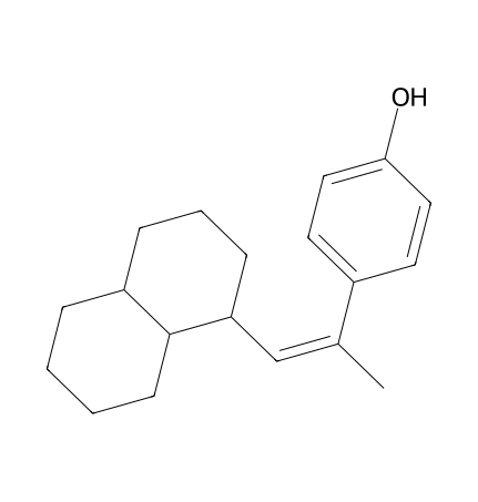 CC(=CC1CCCC2CCCCC12)c1ccc(O)cc1